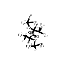 FC(F)(F)C(F)(F)C(F)(OC(F)(C(F)(F)F)C(F)(F)F)[Si](Cl)(Cl)C(F)(OC(F)(C(F)(F)F)C(F)(F)F)C(F)(F)C(F)(F)F